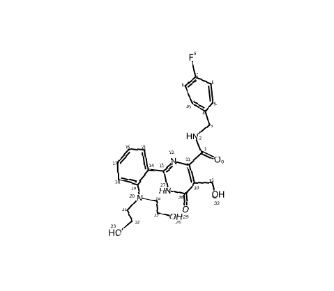 O=C(NCc1ccc(F)cc1)c1nc(-c2ccccc2N(CCO)CCO)[nH]c(=O)c1CO